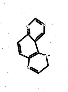 C1=Nc2ccc3ncncc3c2NC1